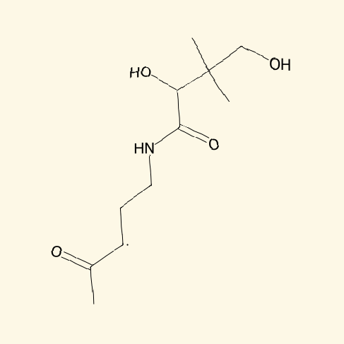 CC(=O)[CH]CCNC(=O)C(O)C(C)(C)CO